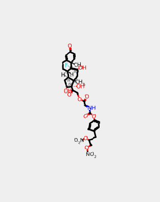 C[C@]12C=CC(=O)C=C1CC[C@H]1[C@@H]3C[C@@H](O)[C@](O)(C(=O)COC(=O)CNC(=O)Oc4ccc(CC(CO[N+](=O)[O-])O[N+](=O)[O-])cc4)[C@@]3(C)C[C@H](O)[C@@]12F